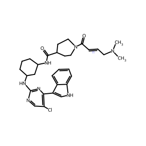 CN(C)C/C=C/C(=O)N1CCC(C(=O)NC2CCCC(Nc3ncc(Cl)c(-c4c[nH]c5ccccc45)n3)C2)CC1